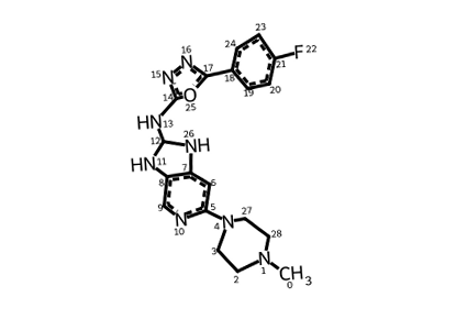 CN1CCN(c2cc3c(cn2)NC(Nc2nnc(-c4ccc(F)cc4)o2)N3)CC1